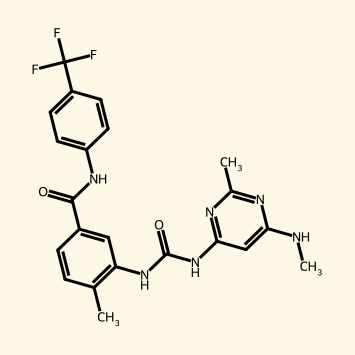 CNc1cc(NC(=O)Nc2cc(C(=O)Nc3ccc(C(F)(F)F)cc3)ccc2C)nc(C)n1